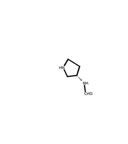 O=CN[C@H]1CCNC1